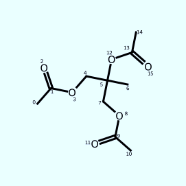 CC(=O)OCC(C)(COC(C)=O)OC(C)=O